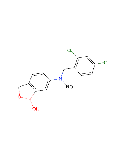 O=NN(Cc1ccc(Cl)cc1Cl)c1ccc2c(c1)B(O)OC2